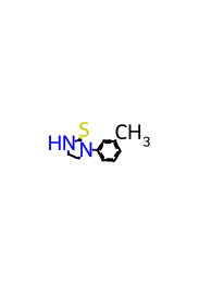 Cc1cccc(N2CCNC2=S)c1